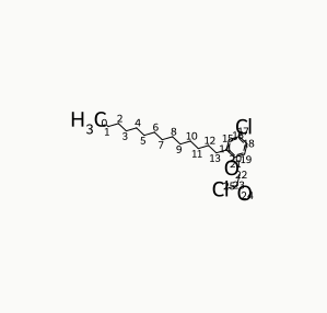 CCCCCCCCCCCCCCc1cc(Cl)ccc1OCC(=O)Cl